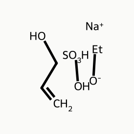 C=CCO.CC[O-].O=S(=O)(O)O.[Na+]